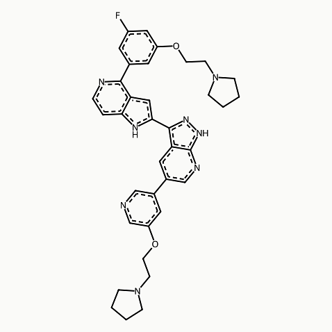 Fc1cc(OCCN2CCCC2)cc(-c2nccc3[nH]c(-c4n[nH]c5ncc(-c6cncc(OCCN7CCCC7)c6)cc45)cc23)c1